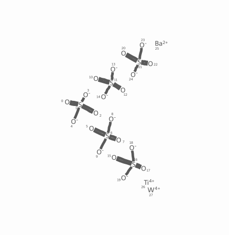 O=S(=O)([O-])[O-].O=S(=O)([O-])[O-].O=S(=O)([O-])[O-].O=S(=O)([O-])[O-].O=S(=O)([O-])[O-].[Ba+2].[Ti+4].[W+4]